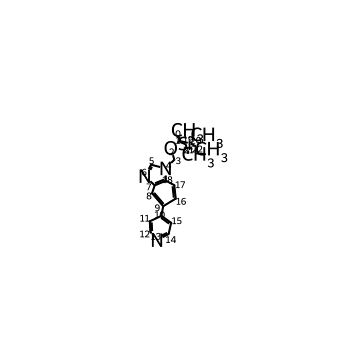 CC(OCn1cnc2cc(-c3ccncc3)ccc21)[Si](C)(C)C